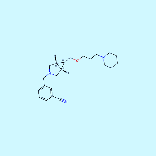 N#Cc1cccc(CN2C[C@@H]3[C@H](COCCCN4CCCCC4)[C@@H]3C2)c1